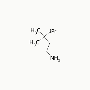 CC(C)C(C)(C)CCN